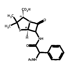 CC(=O)NC(C(=O)NC1C(=O)N2[C@@H]1SC(C)(C)[C@@H]2C(=O)O)c1ccccc1